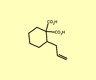 C=CCC1CCCCC1(C(=O)O)C(=O)O